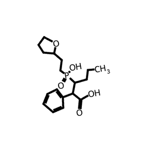 CCCC(C(C(=O)O)c1ccccc1)P(=O)(O)CCC1CCCO1